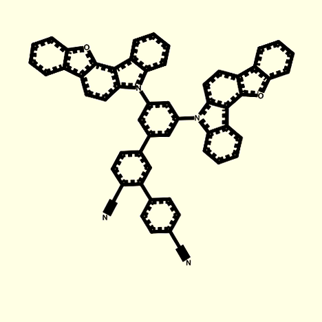 N#Cc1ccc(-c2cc(-c3cc(-n4c5ccccc5c5c6oc7ccccc7c6ccc54)cc(-n4c5ccccc5c5c6oc7ccccc7c6ccc54)c3)ccc2C#N)cc1